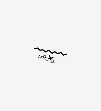 CCC(C)(C)OOC(C)=O.CCCCCCCCCCCC